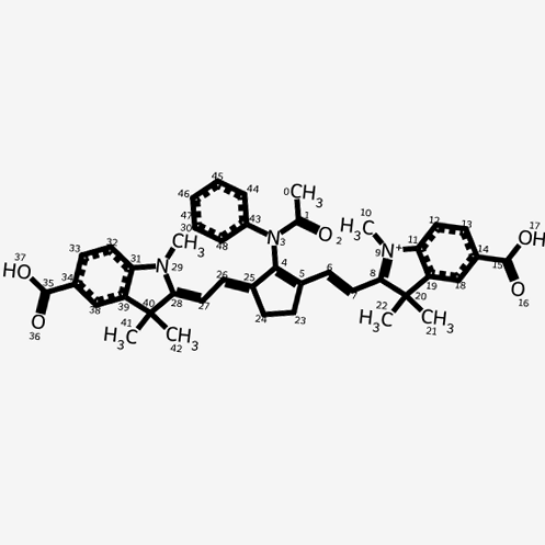 CC(=O)N(C1=C(C=CC2=[N+](C)c3ccc(C(=O)O)cc3C2(C)C)CCC1=CC=C1N(C)c2ccc(C(=O)O)cc2C1(C)C)c1ccccc1